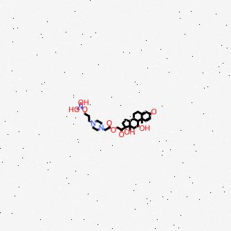 CC12C=CC(=O)C=C1CCC1C2C(O)CC2(C)C1CC[C@]2(O)C(=O)COC(=O)CN1CCN(CCCON(O)O)CC1